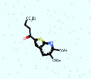 CCOC(=O)CCC(=O)c1cc2cc(OC)c(OC)nc2s1